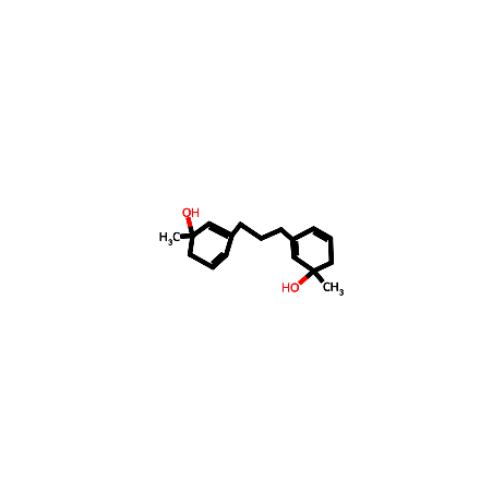 CC1(O)C=C(CCCC2=CC(C)(O)CC=C2)C=CC1